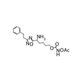 CC(=O)ONC(=O)OCCCCC(N)c1nc(CCc2ccccc2)no1